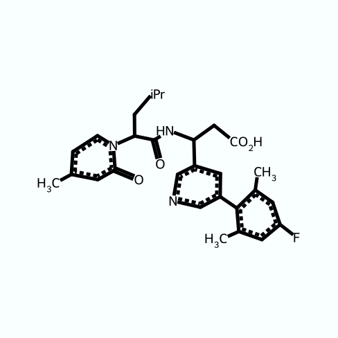 Cc1ccn(C(CC(C)C)C(=O)NC(CC(=O)O)c2cncc(-c3c(C)cc(F)cc3C)c2)c(=O)c1